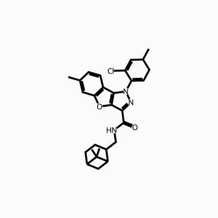 Cc1ccc2c(c1)oc1c(C(=O)NCC3CCC4CC3C4(C)C)nn(C3=CCC(C)C=C3Cl)c12